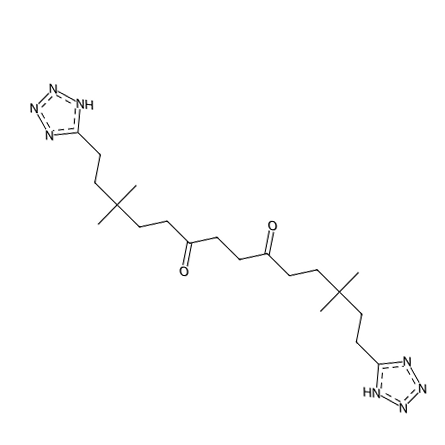 CC(C)(CCC(=O)CCC(=O)CCC(C)(C)CCc1nnn[nH]1)CCc1nnn[nH]1